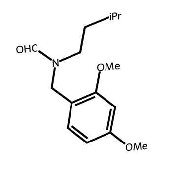 COc1ccc(CN(C=O)CCC(C)C)c(OC)c1